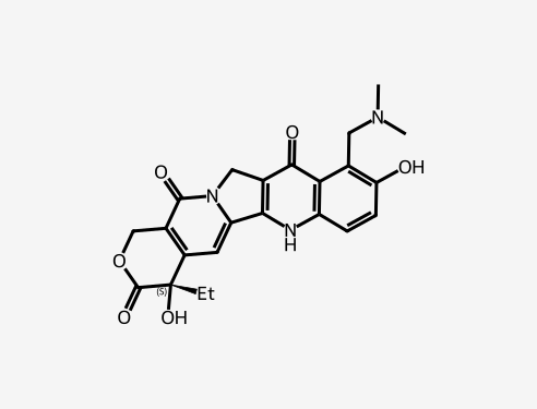 CC[C@@]1(O)C(=O)OCc2c1cc1n(c2=O)Cc2c-1[nH]c1ccc(O)c(CN(C)C)c1c2=O